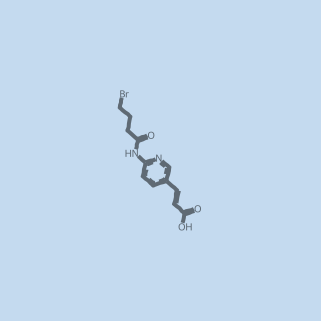 O=C(O)C=Cc1ccc(NC(=O)CCCBr)nc1